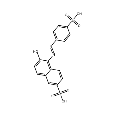 O=S(=O)(O)c1ccc(N=Nc2c(O)ccc3cc(S(=O)(=O)O)ccc23)cc1